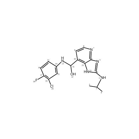 CC(C)Nc1nc2nccc(C(O)Nc3ccc(F)c(Cl)c3)c2[nH]1